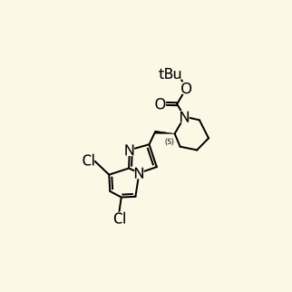 CC(C)(C)OC(=O)N1CCCC[C@H]1Cc1cn2cc(Cl)cc(Cl)c2n1